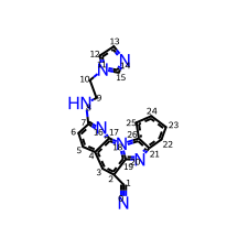 N#Cc1cc2ccc(NCCn3ccnc3)nc2n2c1nc1ccccc12